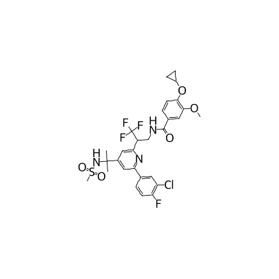 COc1cc(C(=O)NCC(c2cc(C(C)(C)NS(C)(=O)=O)cc(-c3ccc(F)c(Cl)c3)n2)C(F)(F)F)ccc1OC1CC1